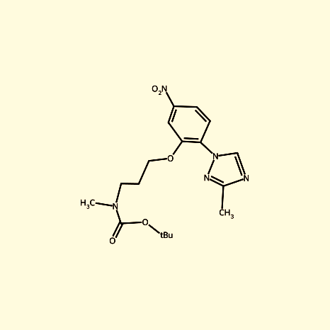 Cc1ncn(-c2ccc([N+](=O)[O-])cc2OCCCN(C)C(=O)OC(C)(C)C)n1